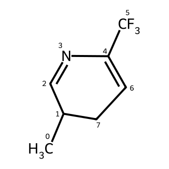 CC1C=NC(C(F)(F)F)=CC1